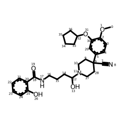 COc1ccc(C2(C#N)CCN(C(O)CCCNC(=O)c3ccccc3O)CC2)cc1OC1CCCC1